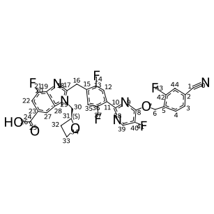 N#Cc1ccc(COc2nc(-c3cc(F)c(Cc4nc5c(F)cc(C(=O)O)cc5n4C[C@@H]4CCO4)cc3F)ncc2F)c(F)c1